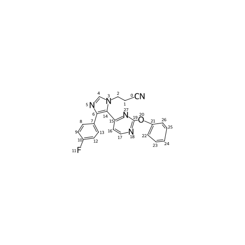 N#CCCn1cnc(-c2ccc(F)cc2)c1-c1ccnc(Oc2ccccc2)n1